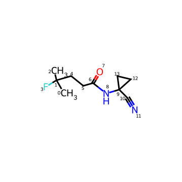 CC(C)(F)CCC(=O)NC1(C#N)CC1